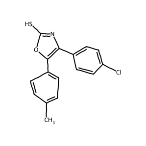 Cc1ccc(-c2oc(S)nc2-c2ccc(Cl)cc2)cc1